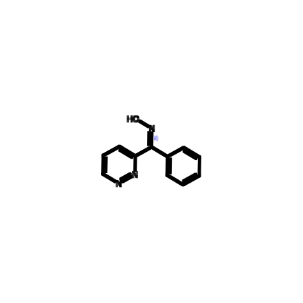 O/N=C(/c1ccccc1)c1cccnn1